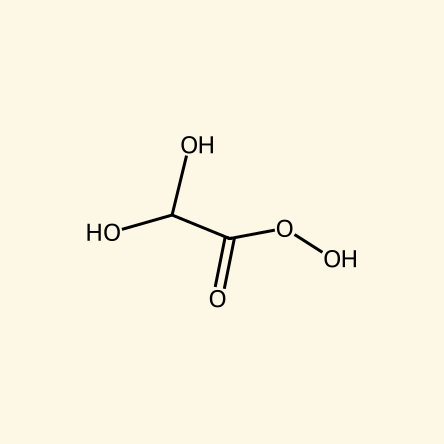 O=C(OO)C(O)O